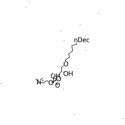 CCCCCCCCCCCCCCCCOC[C@H](O)COP(=O)(O)OCC[N+](C)(C)C